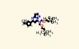 C[Si](C)(C)CCOCN(COCC[Si](C)(C)C)c1cc(C2CC/C(=C/C#N)C2)nc2ccnn12